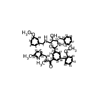 COc1cccc(CNC[C@@H](O)[C@H](Cc2ccccc2)NC(=O)c2cc(C(=O)N(C)Cc3nc(C)cs3)cc(-c3ccccc3OC)c2)c1